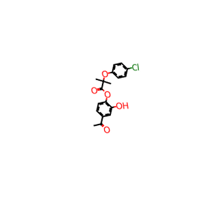 CC(=O)c1ccc(OC(=O)C(C)(C)Oc2ccc(Cl)cc2)c(O)c1